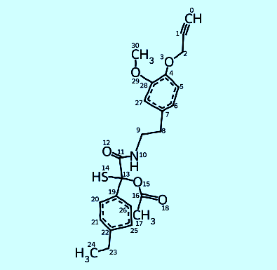 C#CCOc1ccc(CCNC(=O)C(S)(OC(C)=O)c2ccc(CC)cc2)cc1OC